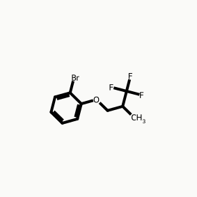 CC(COc1ccccc1Br)C(F)(F)F